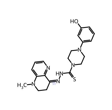 CN1CC/C(=N/NC(=S)N2CCN(c3cccc(O)c3)CC2)c2ncccc21